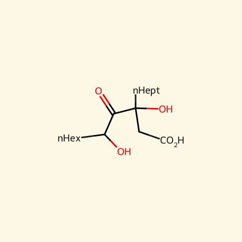 CCCCCCCC(O)(CC(=O)O)C(=O)C(O)CCCCCC